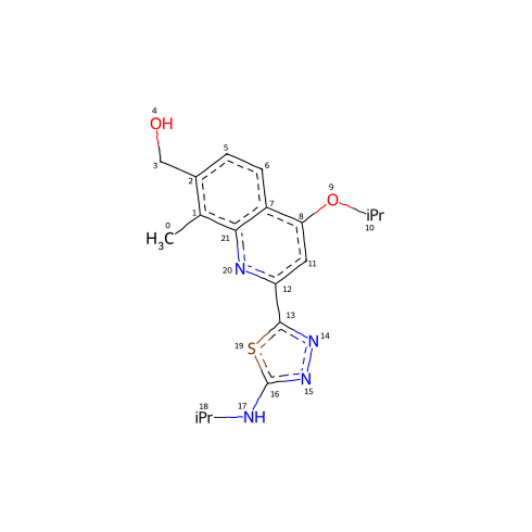 Cc1c(CO)ccc2c(OC(C)C)cc(-c3nnc(NC(C)C)s3)nc12